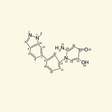 Cn1ncc2ccc(-c3cccc(-n4cc(O)c(=O)cc4N)c3)cc21